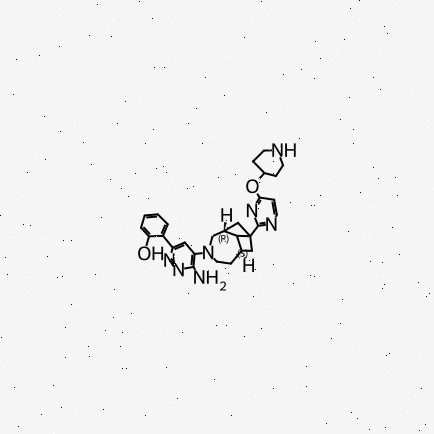 Nc1nnc(-c2ccccc2O)cc1N1CC[C@@H]2CC3(c4nccc(OC5CCNCC5)n4)C[C@@H](C1)C23